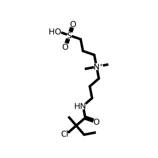 CCC(C)(Cl)C(=O)NCCC[N+](C)(C)CCCS(=O)(=O)O